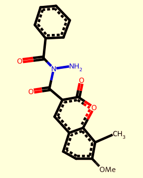 COc1ccc2cc(C(=O)N(N)C(=O)c3ccccc3)c(=O)oc2c1C